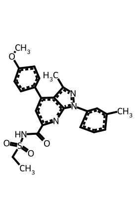 CCS(=O)(=O)NC(=O)c1cc(-c2ccc(OC)cc2)c2c(C)nn(-c3cccc(C)c3)c2n1